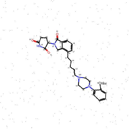 COc1ccccc1N1CCN(CCCCCc2cccc3c2CN(C2CCC(=O)NC2=O)C3=O)CC1